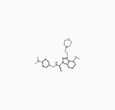 COc1cccc2c(C(=O)NCc3ccc(N(C)C)cc3)nn(CCN3CCOCC3)c12